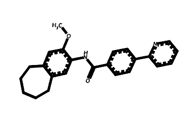 COc1cc2c(cc1NC(=O)c1ccc(-c3ccccn3)cc1)CCCCC2